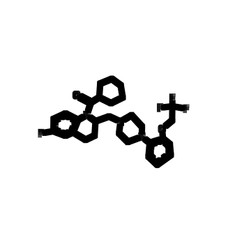 O=C(C1CCCCC1)N1c2ccc(F)cc2CCC1CN1CCN(c2ccccc2OCC(F)(F)F)CC1